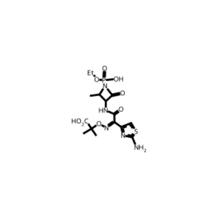 CCOP(=O)(O)N1C(=O)C(NC(=O)C(=NOC(C)(C)C(=O)O)c2csc(N)n2)C1C